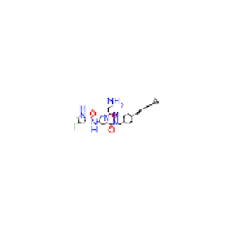 NCCC(=O)N1C[C@H](NC(=O)[C@@H]2C[C@H](F)CN2)C[C@@H]1C(=O)NCc1ccc(C#CC#CC2CC2)cc1